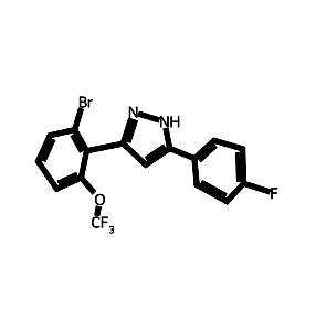 Fc1ccc(-c2cc(-c3c(Br)cccc3OC(F)(F)F)n[nH]2)cc1